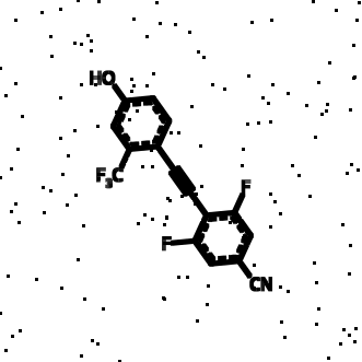 N#Cc1cc(F)c(C#Cc2ccc(O)cc2C(F)(F)F)c(F)c1